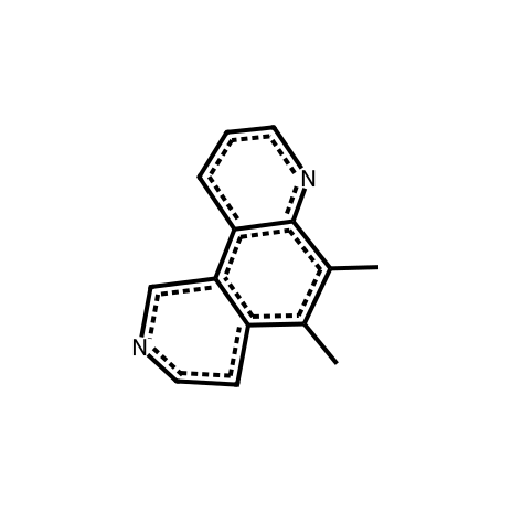 Cc1c(C)c2ncccc2c2cnccc12